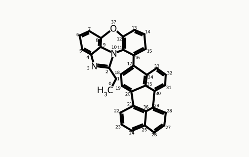 CCc1nc2cccc3c2n1-c1c(cccc1-c1ccc2c4cccc5cccc(c6cccc1c62)c54)O3